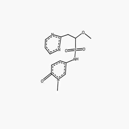 COC(Cc1ncccn1)S(=O)(=O)Nc1ccc(=O)n(C)c1